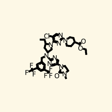 CCOC(=O)C1CCN(c2ncc(Cl)c(N3CC(N(Cc4cc(C(F)(F)F)cc(C(F)(F)F)c4)c4ncc(N5CCN(C)C5=O)cn4)CC3CC)n2)CC1